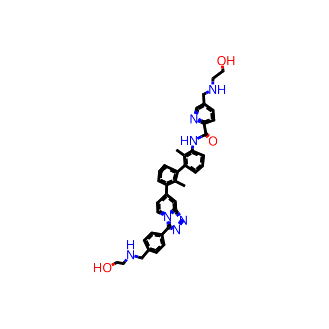 Cc1c(NC(=O)c2ccc(CNCCO)cn2)cccc1-c1cccc(-c2ccn3c(-c4ccc(CNCCO)cc4)nnc3c2)c1C